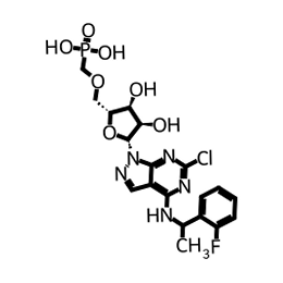 CC(Nc1nc(Cl)nc2c1cnn2[C@@H]1O[C@H](COCP(=O)(O)O)[C@@H](O)[C@H]1O)c1ccccc1F